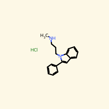 CNCCCn1c(-c2ccccc2)cc2ccccc21.Cl